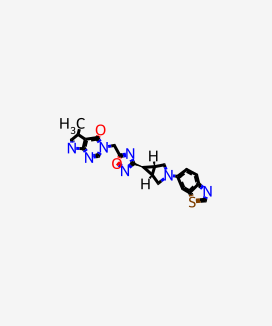 CC1C=Nc2ncn(Cc3nc([C@H]4[C@@H]5CN(c6ccc7ncsc7c6)C[C@@H]54)no3)c(=O)c21